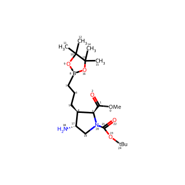 COC(=O)[C@@H]1[C@H](CCCB2OC(C)(C)C(C)(C)O2)[C@@H](N)CN1C(=O)OC(C)(C)C